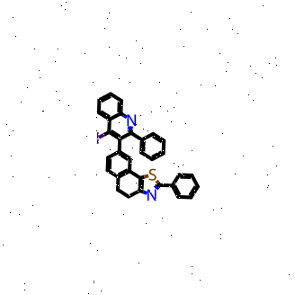 Ic1c(-c2ccc3c(c2)-c2sc(-c4ccccc4)nc2CC3)c(-c2ccccc2)nc2ccccc12